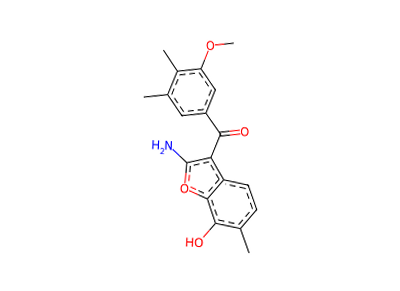 COc1cc(C(=O)c2c(N)oc3c(O)c(C)ccc23)cc(C)c1C